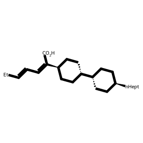 CCC=CC=C(C(=O)O)[C@H]1CC[C@H]([C@H]2CC[C@H](CCCCCCC)CC2)CC1